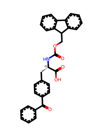 O=C(N[C@@H](Cc1ccc(C(=O)c2ccccc2)cc1)C(=O)O)OCC1c2ccccc2-c2ccccc21